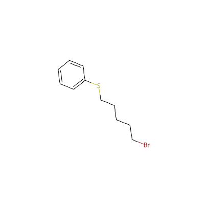 BrCCCCCSc1ccccc1